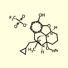 CCCOC12CCC[C@@H]3Oc4c(O)ccc5c4[C@@]31CC[N+](C)(CC1CC1)[C@@H]2C5.O=S(=O)([O-])C(F)(F)F